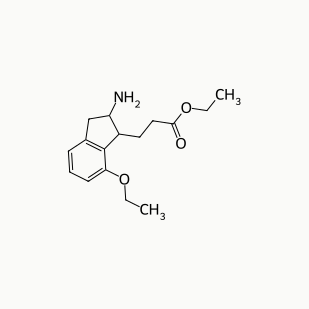 CCOC(=O)CCC1c2c(cccc2OCC)CC1N